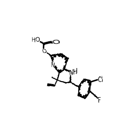 C=CC1(C)CC(c2ccc(F)c(Cl)c2)Nc2ccc(OC(=O)O)nc21